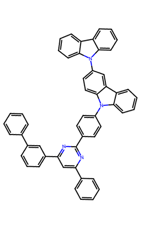 c1ccc(-c2cccc(-c3cc(-c4ccccc4)nc(-c4ccc(-n5c6ccccc6c6cc(-n7c8ccccc8c8ccccc87)ccc65)cc4)n3)c2)cc1